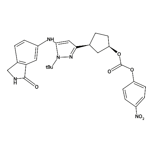 CC(C)(C)n1nc([C@H]2CC[C@@H](OC(=O)Oc3ccc([N+](=O)[O-])cc3)C2)cc1Nc1ccc2c(c1)C(=O)NC2